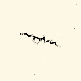 NCCNOC(=O)[C@@H](N)CC(=O)OCCO